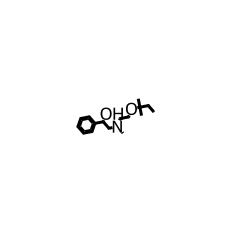 CCC(C)(C)OCCN(C)CC(O)c1ccccc1